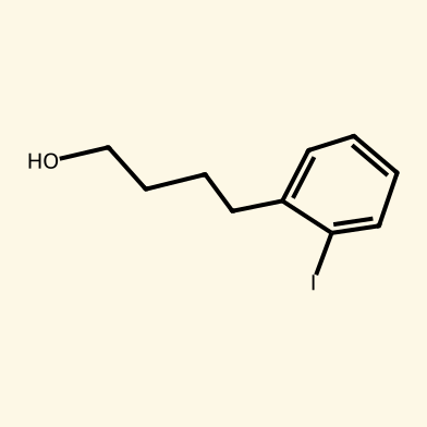 OCCCCc1ccccc1I